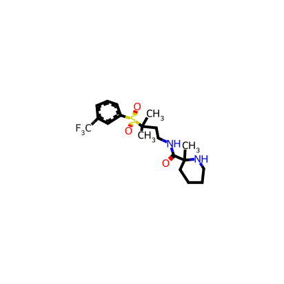 CC1(C(=O)NCCC(C)(C)S(=O)(=O)c2cccc(C(F)(F)F)c2)CCCCN1